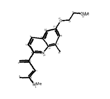 C=C(/C=C(\C)NC)c1ccc2cc(OCCOC)cc(C)c2n1